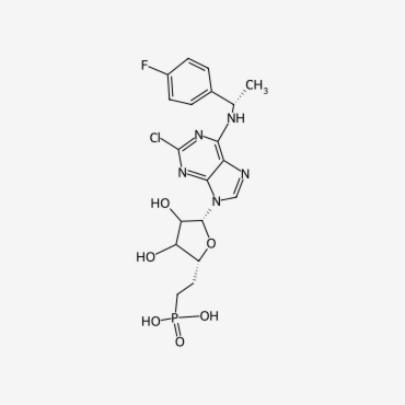 C[C@H](Nc1nc(Cl)nc2c1ncn2[C@@H]1O[C@H](CCP(=O)(O)O)C(O)C1O)c1ccc(F)cc1